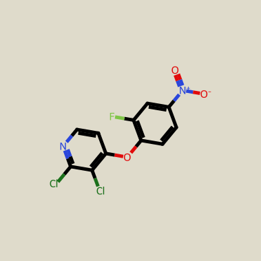 O=[N+]([O-])c1ccc(Oc2ccnc(Cl)c2Cl)c(F)c1